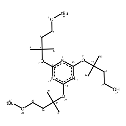 CC(C)(C)OCCC(C)(C)Oc1nc(OC(C)(C)CCO)nc(OC(C)(C)CCOC(C)(C)C)n1